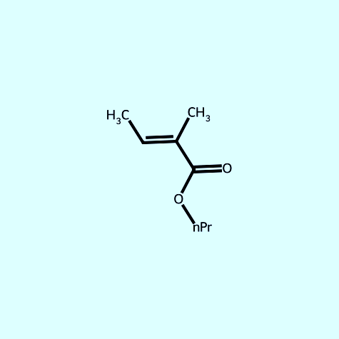 CC=C(C)C(=O)OCCC